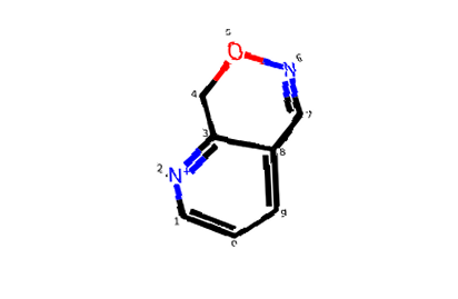 C1=C[N+]=C2CON=CC2=C1